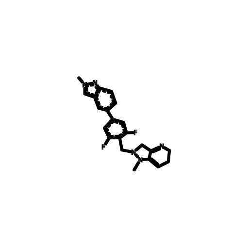 CN1C2=CCCN=C2CN1Cc1c(F)cc(-c2ccc3nn(C)cc3c2)cc1F